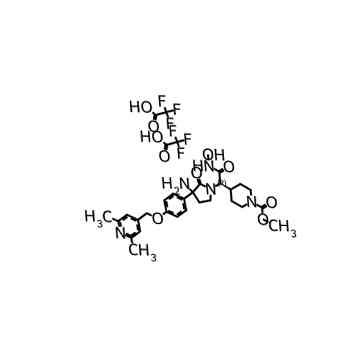 COC(=O)N1CCC([C@H](C(=O)NO)N2CCC(N)(c3ccc(OCc4cc(C)nc(C)c4)cc3)C2=O)CC1.O=C(O)C(F)(F)F.O=C(O)C(F)(F)F